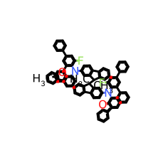 Cc1cccc(-c2cc(-c3ccccc3)cc(F)c2N(c2ccc3c(c2)C(C)(C2(C)c4ccccc4-c4ccc(N(c5c(F)cc(-c6ccccc6)cc5-c5ccccc5)c5cccc6c5oc5ccccc56)cc42)c2ccccc2-3)c2cccc3c2oc2ccccc23)c1